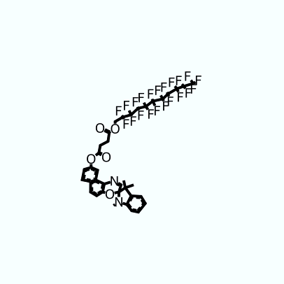 CN1c2ccccc2C(C)(C)C12C=Nc1c(ccc3ccc(OC(=O)CCC(=O)OCC(F)(F)C(F)(F)C(F)(F)C(F)(F)C(F)(F)C(F)(F)C(F)(F)C(F)(F)C(F)(F)C(F)(F)F)cc13)O2